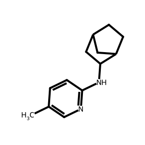 Cc1ccc(NC2CC3CCC2C3)nc1